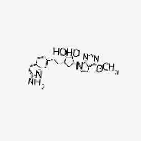 COc1ncnc2c1ccn2[C@@H]1C[C@H](CCc2ccc3ccc(N)nc3c2)[C@@H](O)[C@H]1O